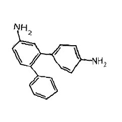 Nc1ccc(-c2cc(N)ccc2-c2ccccc2)cc1